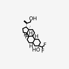 C=C(CO)[C@H]1CC[C@H]2[C@@H]3CC[C@@H]4C[C@](O)(C(F)F)CC[C@@H]4[C@H]3CC[C@]12C